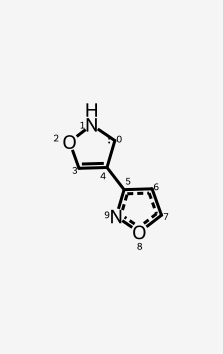 [C]1NOC=C1c1ccon1